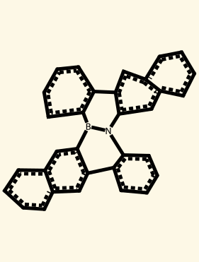 c1ccc2c(c1)B1c3cc4ccccc4cc3-c3ccccc3N1c1cc3ccccc3cc1-2